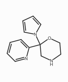 c1ccc(C2(n3cccc3)CNCCO2)nc1